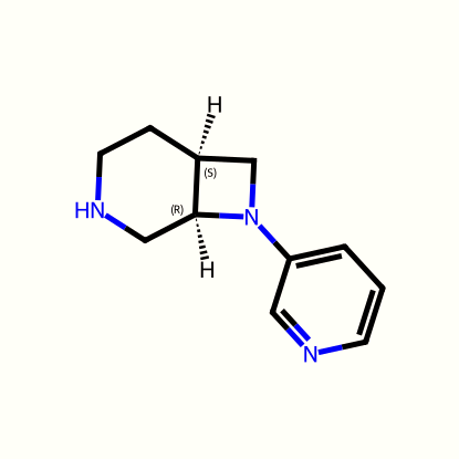 c1cncc(N2C[C@@H]3CCNC[C@@H]32)c1